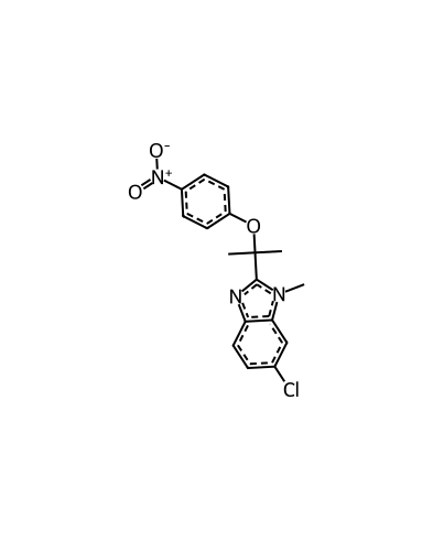 Cn1c(C(C)(C)Oc2ccc([N+](=O)[O-])cc2)nc2ccc(Cl)cc21